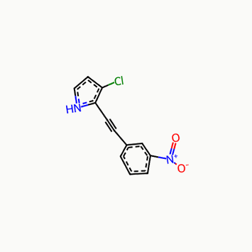 O=[N+]([O-])c1cccc(C#Cc2[nH]ccc2Cl)c1